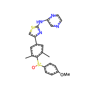 COc1ccc([S+]([O-])c2c(C)cc(-c3csc(Nc4cnccn4)n3)cc2C)cc1